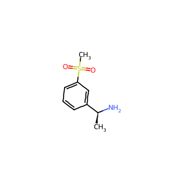 C[C@H](N)c1cccc(S(C)(=O)=O)c1